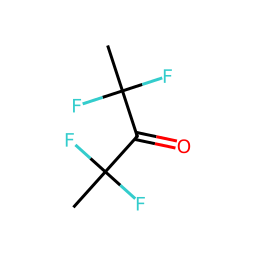 CC(F)(F)C(=O)C(C)(F)F